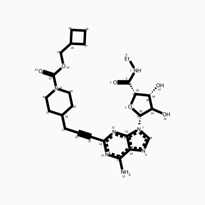 CCNC(=O)[C@H]1O[C@@H](n2cnc3c(N)nc(C#CCC4CCN(C(=O)OCC5CCC5)CC4)nc32)C(O)[C@H]1O